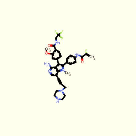 C=C(F)C(=O)Nc1ccc(-c2c(-c3ccc(C(=O)NCC(F)(F)F)c(OC)c3)c3c(N)ncc(C#CCN4CCNCC4)c3n2C)cc1